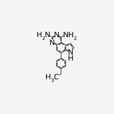 CCc1ccc(-c2cc3nc(N)nc(N)c3c3cc[nH]c23)cc1